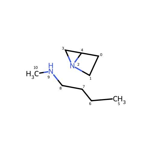 C1CN2CC12.CCCCNC